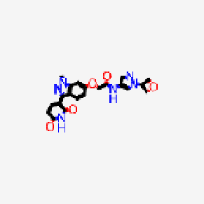 Cn1nc(C2CCC(=O)NC2=O)c2ccc(OCC(=O)Nc3cnn(C4COC4)c3)cc21